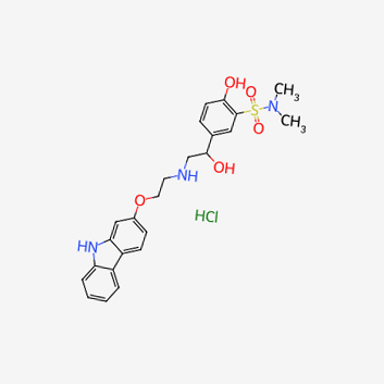 CN(C)S(=O)(=O)c1cc(C(O)CNCCOc2ccc3c(c2)[nH]c2ccccc23)ccc1O.Cl